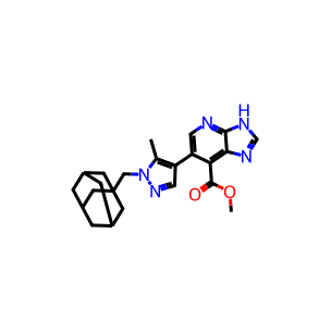 COC(=O)c1c(-c2cnn(CC34CC5CC(CC(C5)C3)C4)c2C)cnc2[nH]cnc12